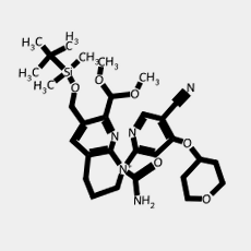 COC(OC)c1nc2c(cc1CO[Si](C)(C)C(C)(C)C)CCC[N+]2(C(N)=O)c1cc(OC2CCOCC2)c(C#N)cn1